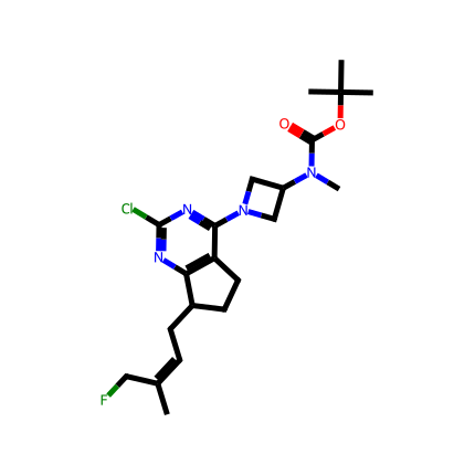 CC(=CCC1CCc2c1nc(Cl)nc2N1CC(N(C)C(=O)OC(C)(C)C)C1)CF